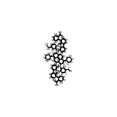 CCc1cccc(N(c2cc(C3CCCCC3)c3ccc4c(N(c5cccc(CC)c5)c5cccc6c5oc5c(-c7ccccc7C(C)C)cccc56)cc(C5CCCCC5)c5ccc2c3c54)c2cccc3c2oc2c(-c4ccccc4C(C)C)cccc23)c1